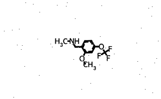 CNCc1ccc(OC(F)(F)F)cc1OC